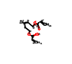 [CH2]C[C](CCOC(=O)C=C)CCOC(=O)C=C